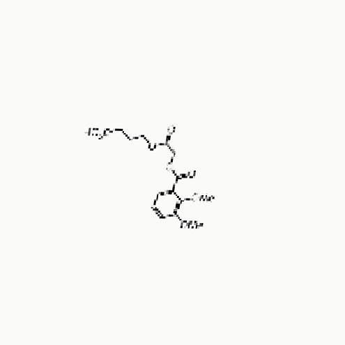 COc1cccc(C(=O)OCC(=O)OCCCC(=O)O)c1OC